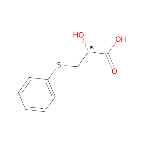 O=C(O)[C@@H](O)CSc1ccccc1